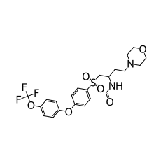 O=CNC(CCN1CCOCC1)CS(=O)(=O)c1ccc(Oc2ccc(OC(F)(F)F)cc2)cc1